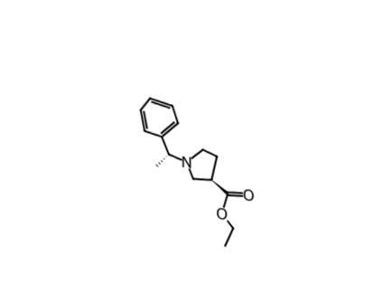 CCOC(=O)[C@@H]1CCN([C@H](C)c2ccccc2)C1